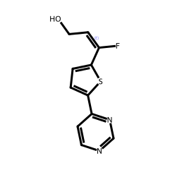 OC/C=C(/F)c1ccc(-c2ccncn2)s1